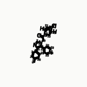 Cc1ccc(-c2ncn(CC(=O)N3C[C@H]4C[C@@H]3CN4Cl)c2-c2ccncc2)cc1